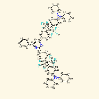 FC(F)(F)C(c1ccc(-c2cc(-c3ccccc3)nc(-c3ccc(C(c4ccc(N(c5ccccc5)c5ccccc5)cc4)(C(F)(F)F)C(F)(F)F)cc3)n2)cc1)(c1ccc(N(c2ccccc2)c2ccccc2)cc1)C(F)(F)F